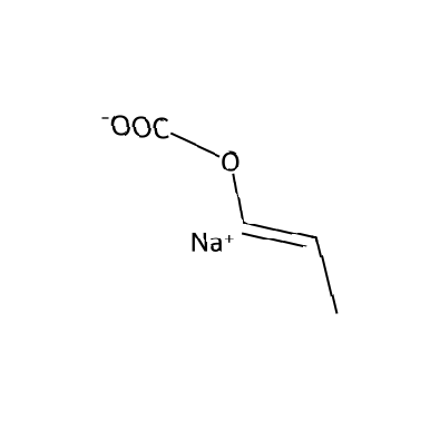 CC=COC(=O)[O-].[Na+]